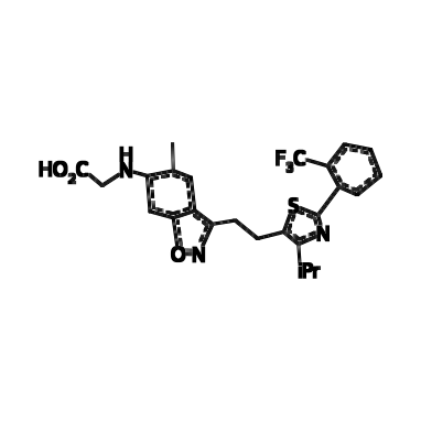 Cc1cc2c(CCc3sc(-c4ccccc4C(F)(F)F)nc3C(C)C)noc2cc1NCC(=O)O